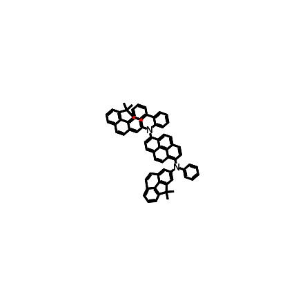 CC1(C)c2cccc3ccc4cc(N(c5ccccc5)c5ccc6ccc7c(N(c8cc9c%10c(ccc%11cccc(c%11%10)C9(C)C)c8)c8ccccc8-c8ccccc8)ccc8ccc5c6c87)cc1c4c23